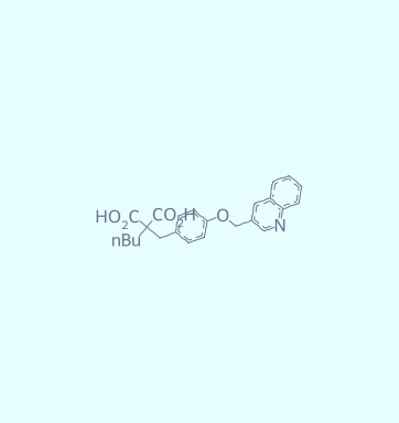 CCCCC(Cc1ccc(OCc2cnc3ccccc3c2)cc1)(C(=O)O)C(=O)O